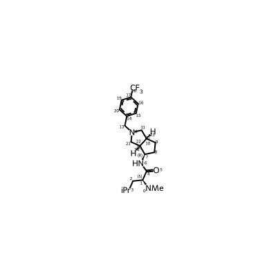 CN[C@@H](CC(C)C)C(=O)N[C@@H]1CC[C@H]2CN(Cc3ccc(C(F)(F)F)cc3)C[C@H]21